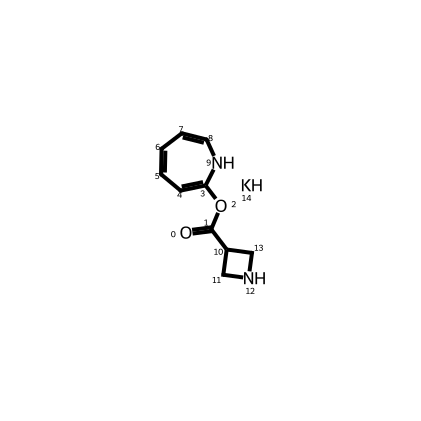 O=C(OC1=CC=CC=CN1)C1CNC1.[KH]